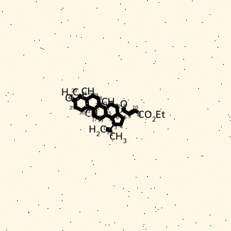 C=C(C)[C@@H]1CC[C@]2(C(=O)/C=C/C(=O)OCC)CCC3C(CCC4[C@@]3(C)CCC3C(C)(C)C(=O)CC[C@@]34C)C12